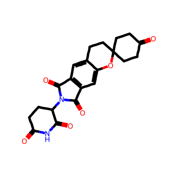 O=C1CCC2(CC1)CCc1cc3c(cc1O2)C(=O)N(C1CCC(=O)NC1=O)C3=O